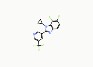 Fc1ccc2nc(-c3cncc(C(F)(F)F)c3)n(C3CC3)c2c1F